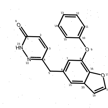 O=c1ccc(Cc2cc(Oc3ccccc3)c3occc3c2)n[nH]1